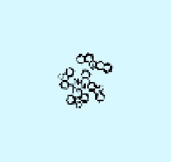 c1ccc2cc3c(cc2c1)c1ccc2ccccc2c1n3-c1ccc(-c2nc(-c3cccc4oc5ccccc5c34)nc(-c3cccc4oc5ccccc5c34)n2)c(-c2ccc3c(c2)sc2ccccc23)c1